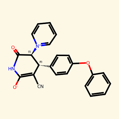 N#CC1=C([O-])NC(=O)[C@@H]([n+]2ccccc2)[C@@H]1c1ccc(Oc2ccccc2)cc1